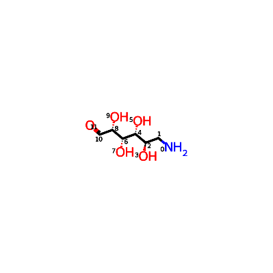 NC[C@@H](O)[C@@H](O)[C@H](O)[C@@H](O)C=O